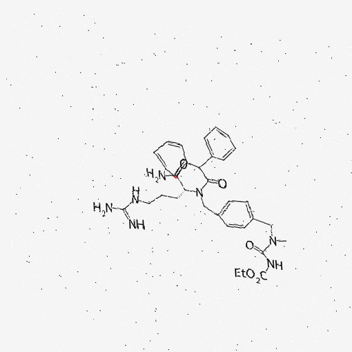 CCOC(=O)NC(=O)N(C)Cc1ccc(CN(C(=O)C(c2ccccc2)c2ccccc2)[C@H](CCCNC(=N)N)C(N)=O)cc1